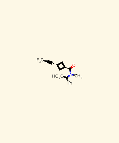 CC(C)C(C(=O)O)N(C)C(=O)[C@H]1C[C@H](C#CC(F)(F)F)C1